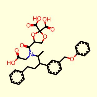 CC(C(CCc1ccccc1)c1cccc(COc2ccccc2)c1)N(CC(=O)O)C(=O)C1COC(C(=O)O)(C(=O)O)O1